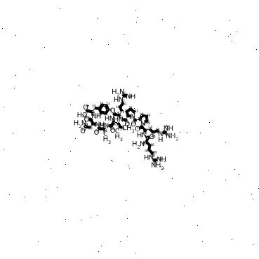 CC(C)C[C@H](NC(=O)[C@H](CCCNC(=N)N)NC(=O)[C@@H]1CCCN1C(=O)[C@@H]1CCCN1C(=O)[C@H](CCCNC(=N)N)NC(=O)[C@@H](N)CCCNC(=N)N)C(=O)N[C@@H](C)C(=O)N[C@@H](CC(N)=O)C(=O)N[C@@H](Cc1ccccc1)C(=O)O